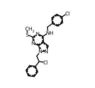 CSc1nc(NCc2ccc(Cl)cc2)c2cnn(CC(Cl)c3ccccc3)c2n1